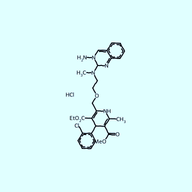 CCOC(=O)C1=C(COCCN(C)C2N=c3ccccc3=CN2N)NC(C)=C(C(=O)OC)C1c1ccccc1Cl.Cl